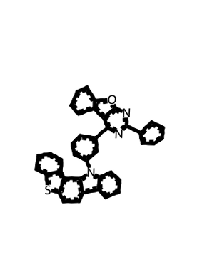 c1ccc(-c2nc(-c3cccc(-n4c5ccccc5c5ccc6sc7ccccc7c6c54)c3)c3c(n2)oc2ccccc23)cc1